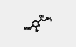 COc1ccc(C(O)CN)nc1Br